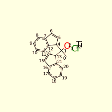 CC(OCl)(C1C=Cc2ccccc21)C1C=Cc2ccccc21.[Ti]